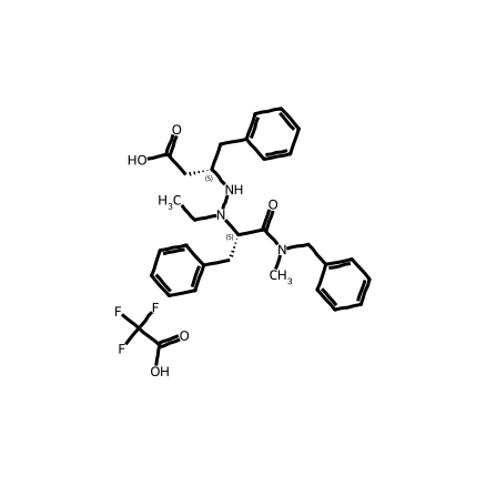 CCN(N[C@H](CC(=O)O)Cc1ccccc1)[C@@H](Cc1ccccc1)C(=O)N(C)Cc1ccccc1.O=C(O)C(F)(F)F